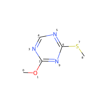 COc1n[c]nc(SC)n1